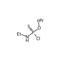 CCCOP(=S)(Cl)NCC